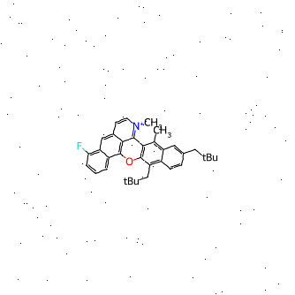 Cc1c2c(c(CC(C)(C)C)c3ccc(CC(C)(C)C)cc13)Oc1c3cccc(F)c3cc3cc[n+](C)c-2c13